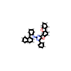 c1ccc(-c2nc(-n3c4ccccc4c4c5ccccc5ccc43)nc3c2oc2ccc4c5ccccc5oc4c23)cc1